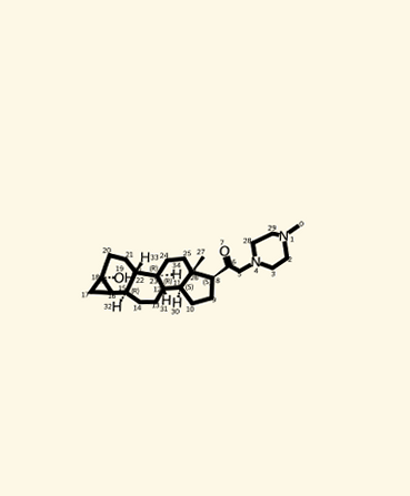 CN1CCN(CC(=O)[C@H]2CC[C@H]3[C@@H]4CC[C@H]5C6C[C@@]6(O)CC[C@@H]5[C@H]4CC[C@]23C)CC1